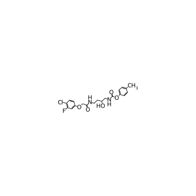 Cc1ccc(OC(=O)NCC(O)CCNC(=O)COc2ccc(Cl)c(F)c2)cc1